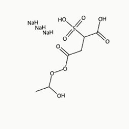 CC(O)OOC(=O)CC(C(=O)O)S(=O)(=O)O.[NaH].[NaH].[NaH]